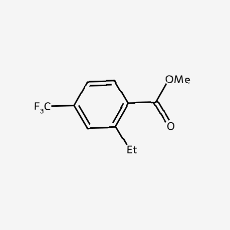 CCc1cc(C(F)(F)F)ccc1C(=O)OC